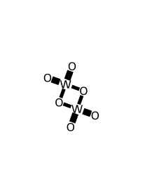 [O]=[W]1(=[O])[O][W](=[O])(=[O])[O]1